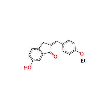 CCOc1ccc(C=C2Cc3ccc(O)cc3C2=O)cc1